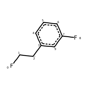 FC[CH]c1cccc(F)c1